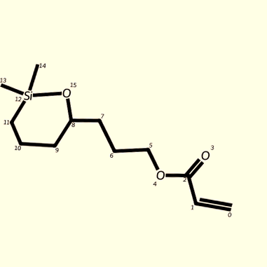 C=CC(=O)OCCCC1CCC[Si](C)(C)O1